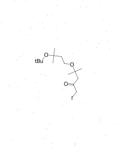 CC(C)(C)OC(C)(C)CCOC(C)(C)CC(=O)CI